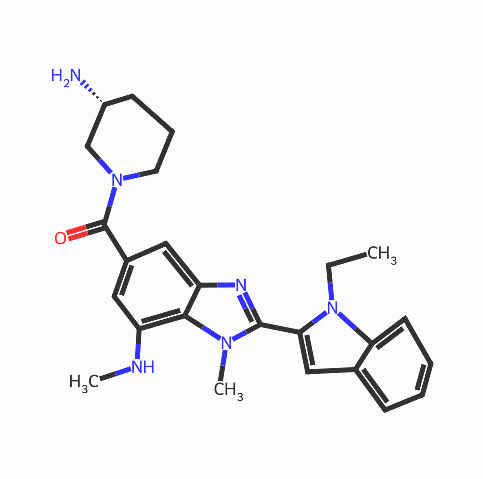 CCn1c(-c2nc3cc(C(=O)N4CCC[C@@H](N)C4)cc(NC)c3n2C)cc2ccccc21